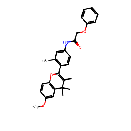 CCCCOc1ccc2c(c1)C(C)(C)C(C)=C(c1ccc(NC(=O)COc3ccccc3)cc1CCCC)O2